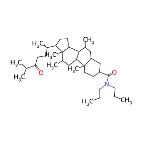 CCCN(CCC)C(=O)C1CCC2(C)C(C1)CC(C)C1C2CC(C)C2(C)C1CCC2[C@H](C)CCC(=O)C(C)C